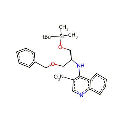 CC(C)(C)[Si](C)(C)OC[C@H](COCc1ccccc1)Nc1c([N+](=O)[O-])cnc2ccccc12